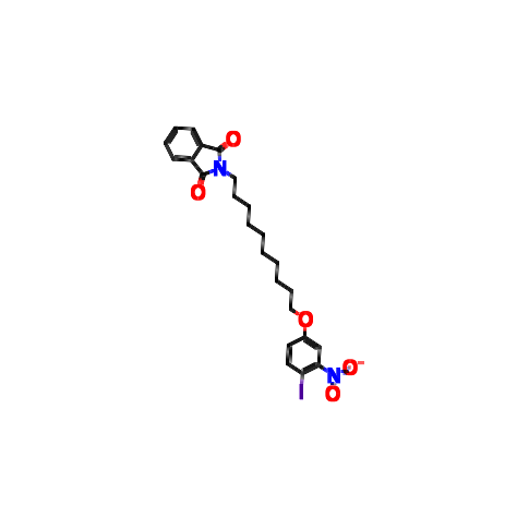 O=C1c2ccccc2C(=O)N1CCCCCCCCCCOc1ccc(I)c([N+](=O)[O-])c1